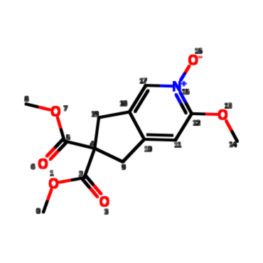 COC(=O)C1(C(=O)OC)Cc2cc(OC)[n+]([O-])cc2C1